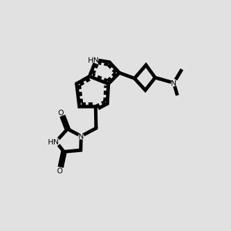 CN(C)C1CC(c2c[nH]c3ccc(CN4CC(=O)NC4=O)cc23)C1